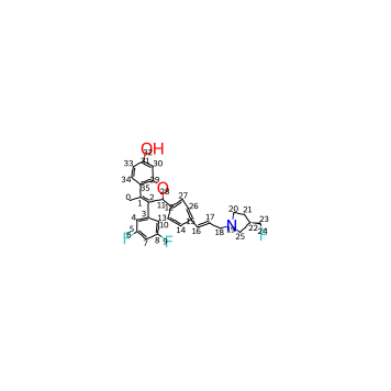 CC1=C(c2cc(F)cc(F)c2)C(c2ccc(/C=C/CN3CC[C@@H](CF)C3)cc2)Oc2cc(O)ccc21